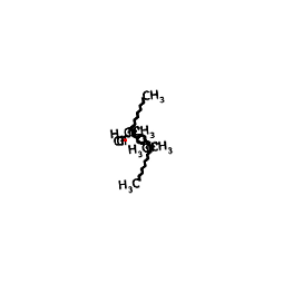 CCCCCCCCCC[N+](C)(C)Cc1ccc(C[N+](C)(C)CCCCCCCCCC)cc1.[Cl-].[Cl-]